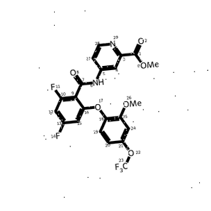 COC(=O)c1cc(NC(=O)c2c(F)cc(F)cc2Oc2ccc(OC(F)(F)F)cc2OC)ccn1